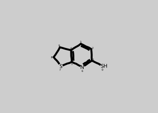 Sc1ccc2c(n1)SCC2